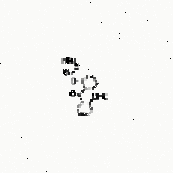 CCCCOC(=O)Oc1ccccc1C(=O)c1ccccc1[C]=O